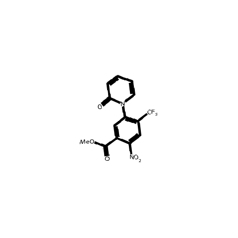 COC(=O)c1cc(-n2ccccc2=O)c(C(F)(F)F)cc1[N+](=O)[O-]